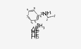 B.CCNc1ccccc1.F.F.F